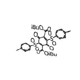 Cc1ccc(S(=O)(=O)C2=C(C(=O)OCC(C)C)C(=O)C(S(=O)(=O)c3ccc(C)cc3)=C(C(=O)OCC(C)C)C2=O)cc1